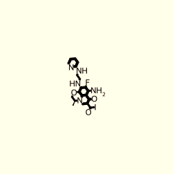 C[C@H]1COc2c(NCCNc3ccccn3)c(F)c(N)c3c(=O)c(C(=O)I)cn1c23